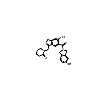 O=C1CCCCN1CC1=NCc2cc(O)c(C(=O)N3Cc4ccc(O)cc4C3)cc21